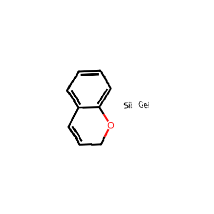 C1=Cc2ccccc2OC1.[Ge].[Si]